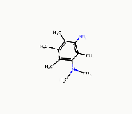 Cc1c(C)c(N)c(C)c(N(C)C)c1C